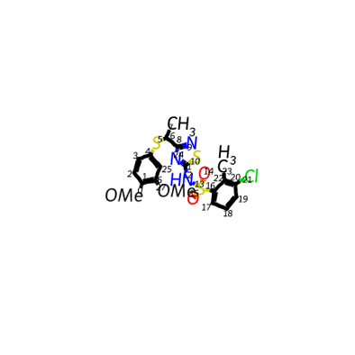 COc1ccc(SC(C)c2nsc(NS(=O)(=O)c3cccc(Cl)c3C)n2)cc1OC